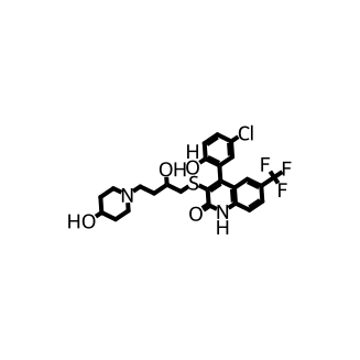 O=c1[nH]c2ccc(C(F)(F)F)cc2c(-c2cc(Cl)ccc2O)c1SCC(O)CCN1CCC(O)CC1